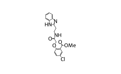 COC(=O)c1cc(Cl)ccc1OCC(=O)NCCc1nc2ccccc2[nH]1